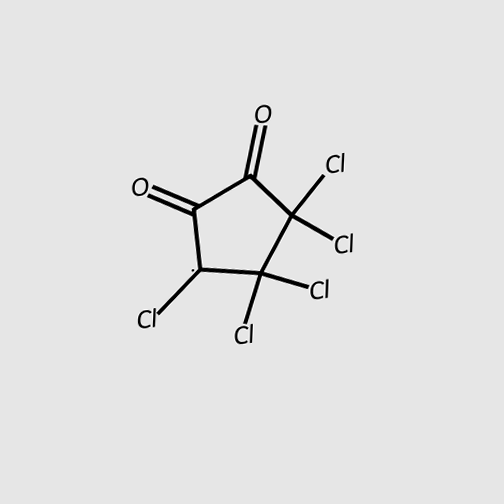 O=C1[C](Cl)C(Cl)(Cl)C(Cl)(Cl)C1=O